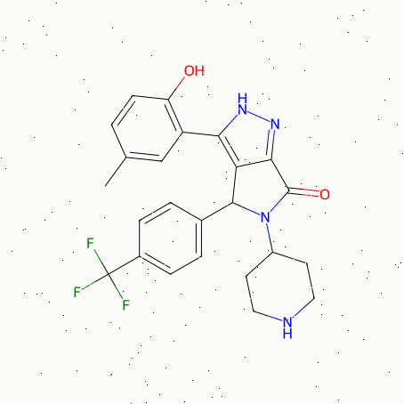 Cc1ccc(O)c(-c2[nH]nc3c2C(c2ccc(C(F)(F)F)cc2)N(C2CCNCC2)C3=O)c1